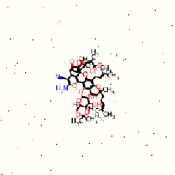 COC(=O)/C(C)=C\CC1(O)C(=O)C2CC(C(C)C)C13Oc1c(CC=C(C)C)c4c(c(O[C@@H]5O[C@@H]6COC(C)(C)O[C@H]6[C@H](O)[C@H]5O)c1C1=C3C2C(C#N)=C(N)O1)C=CC(C)(CCC=C(C)C)O4